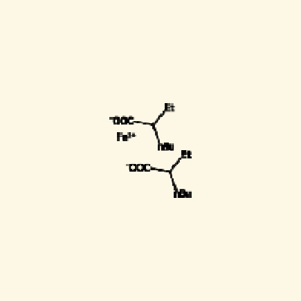 CCCCC(CC)C(=O)[O-].CCCCC(CC)C(=O)[O-].[Fe+2]